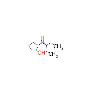 CCC(CC)NC1CCC[C@H]1O